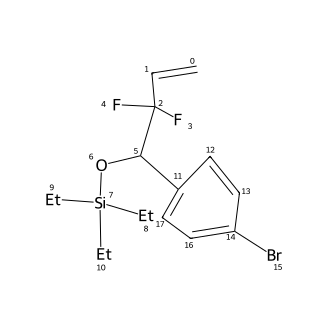 C=CC(F)(F)C(O[Si](CC)(CC)CC)c1ccc(Br)cc1